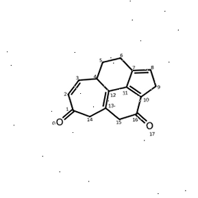 O=C1C=CC2CCC3=CCC4=C3C2=C(C1)CC4=O